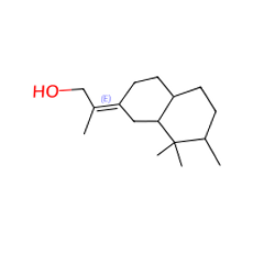 C/C(CO)=C1/CCC2CCC(C)C(C)(C)C2C1